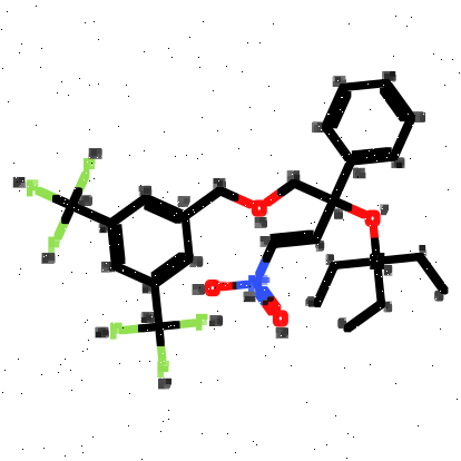 CC[Si](CC)(CC)OC(C=C[N+](=O)[O-])(COCc1cc(C(F)(F)F)cc(C(F)(F)F)c1)c1ccccc1